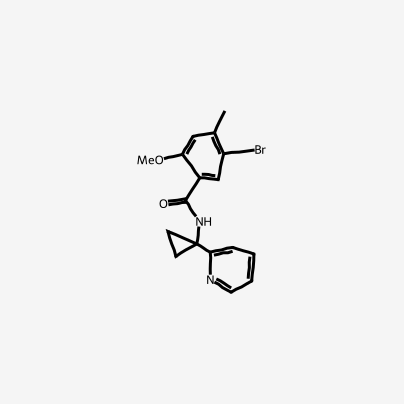 COc1cc(C)c(Br)cc1C(=O)NC1(c2ccccn2)CC1